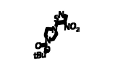 CC(C)(C)OC(=O)N1CCN(c2sncc2[N+](=O)[O-])CC1